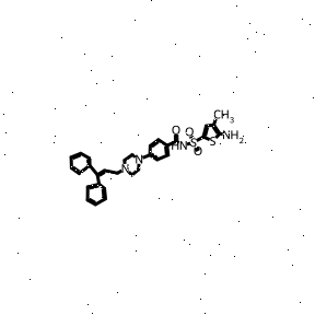 Cc1cc(S(=O)(=O)NC(=O)c2ccc(N3CCN(CC=C(c4ccccc4)c4ccccc4)CC3)cc2)sc1N